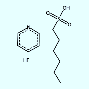 CCCCCCS(=O)(=O)O.F.c1ccncc1